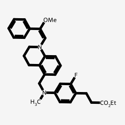 CCOC(=O)CCc1ccc(N(C)Cc2cccc3c2CCCN3C=C(OC)c2ccccc2)cc1F